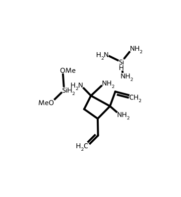 C=CC1CC(N)(N)C1(N)C=C.CO[SiH2]OC.N[SiH](N)N